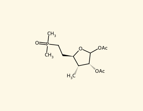 CC(=O)OC1O[C@H](CCP(C)(C)=O)[C@@H](C)[C@H]1OC(C)=O